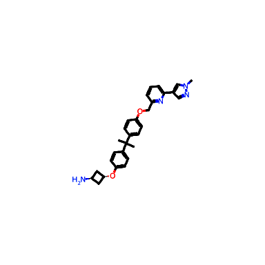 Cn1cc(-c2cccc(COc3ccc(C(C)(C)c4ccc(O[C@H]5C[C@H](N)C5)cc4)cc3)n2)cn1